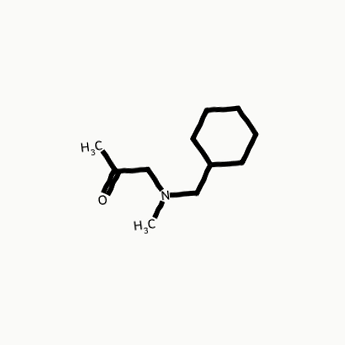 CC(=O)CN(C)CC1CCCCC1